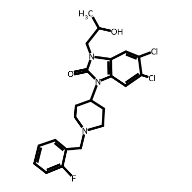 CC(O)Cn1c(=O)n(C2CCN(Cc3ccccc3F)CC2)c2cc(Cl)c(Cl)cc21